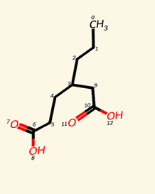 CCCC(CCC(=O)O)CC(=O)O